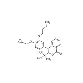 CCCCOc1cc(-c2c(C(C)(C)O)oc(=O)c3ccccc23)ccc1OCC1CC1